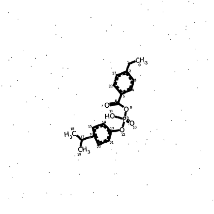 CCc1ccc(C(=O)OP(=O)(O)Oc2ccc(C(C)C)cc2)cc1